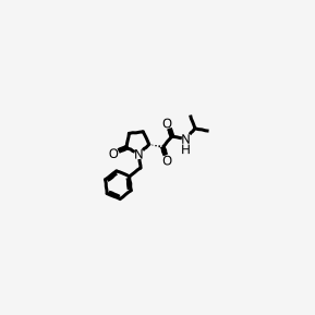 CC(C)NC(=O)C(=O)[C@H]1CCC(=O)N1Cc1ccccc1